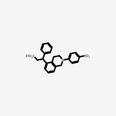 CCOC(=O)CC(c1ccccc1)c1cccc2c1CCN(c1ccc([N+](=O)[O-])cc1)C2